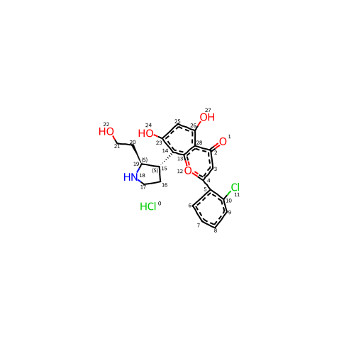 Cl.O=c1cc(-c2ccccc2Cl)oc2c([C@@H]3CCN[C@H]3CCO)c(O)cc(O)c12